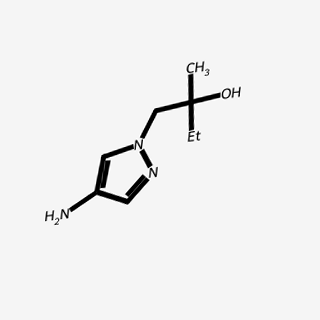 CCC(C)(O)Cn1cc(N)cn1